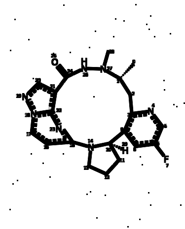 C[C@@H]1Cc2ncc(F)cc2[C@H]2CCCN2c2ccn3ncc(c3n2)C(=O)NN1C